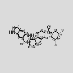 CSc1cc2[nH]ncc2cc1Nc1ncnc2sc3c(c12)CC[C@H](C(=O)N1C[C@@H](C)O[C@@H](C)C1)C3